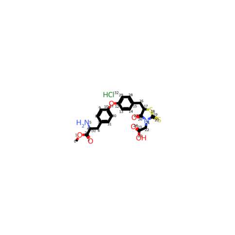 COC(=O)[C@@H](N)Cc1ccc(Oc2ccc(CC3SC(=S)N(CC(=O)O)C3=O)cc2)cc1.Cl